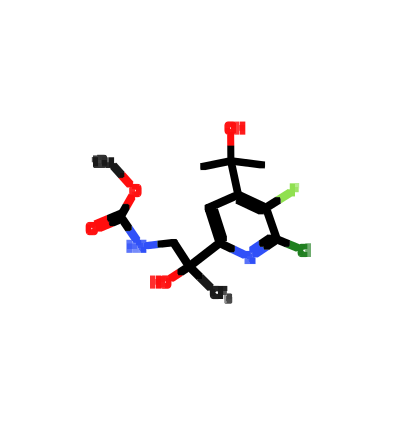 CC(C)(C)OC(=O)NCC(O)(c1cc(C(C)(C)O)c(F)c(Cl)n1)C(F)(F)F